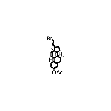 CC(=O)Oc1ccc2c(c1)C[C@@H](C)[C@@H]1[C@@H]2CC[C@]2(C)/C(=C/CBr)CC[C@@H]12